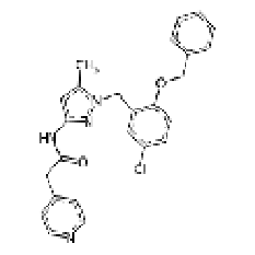 Cc1cc(NC(=O)Cc2ccncc2)nn1Cc1cc(Cl)ccc1OCc1ccccc1